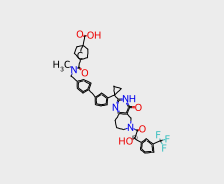 CN(Cc1ccc(-c2cccc(C3(c4nc5c(c(=O)[nH]4)CN(C(=O)[C@H](O)c4cccc(C(F)(F)F)c4)CCC5)CC3)c2)cc1)C(=O)C12CCC(C(=O)O)(CC1)CC2